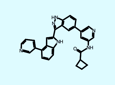 O=C(Nc1cncc(-c2ccc3[nH]nc(-c4cc5c(-c6cccnc6)cccc5[nH]4)c3c2)c1)C1CCC1